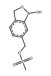 CS(=O)(=O)OCc1ccc2c(c1)B(O)OC2